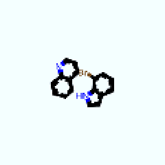 Brc1cccc2cc[nH]c12.c1ccc2ncccc2c1